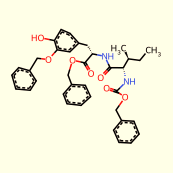 CC[C@H](C)[C@H](NC(=O)OCc1ccccc1)C(=O)N[C@@H](Cc1ccc(O)c(OCc2ccccc2)c1)C(=O)OCc1ccccc1